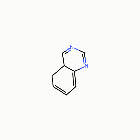 [C]1=NC2=CC=CCC2C=N1